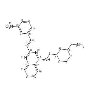 NCC1CCCC(CNc2nc(/C=C/c3cccc([N+](=O)[O-])c3)nc3ccccc23)C1